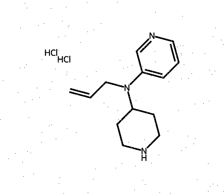 C=CCN(c1cccnc1)C1CCNCC1.Cl.Cl